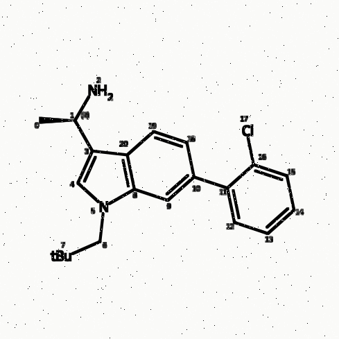 C[C@@H](N)c1cn(CC(C)(C)C)c2cc(-c3ccccc3Cl)ccc12